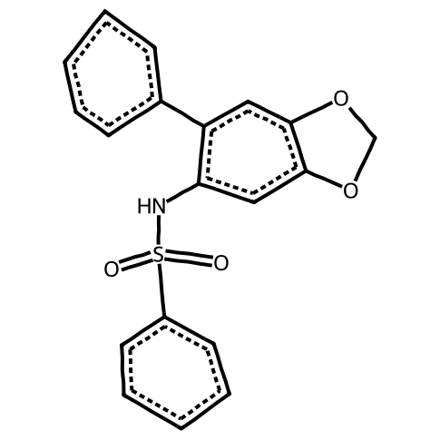 O=S(=O)(Nc1cc2c(cc1-c1ccccc1)OCO2)c1ccccc1